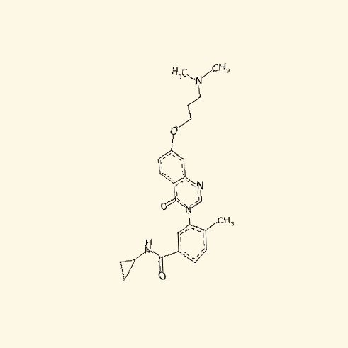 Cc1ccc(C(=O)NC2CC2)cc1-n1cnc2cc(OCCCN(C)C)ccc2c1=O